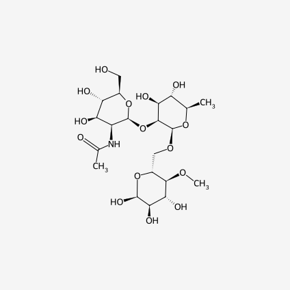 CO[C@H]1[C@H](O)[C@@H](O)[C@@H](O)O[C@@H]1CO[C@@H]1O[C@H](C)[C@@H](O)[C@H](O)[C@@H]1O[C@@H]1O[C@H](CO)[C@@H](O)[C@H](O)[C@@H]1NC(C)=O